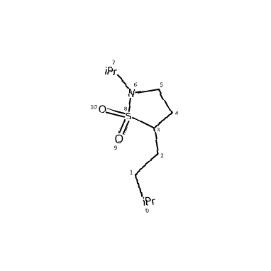 CC(C)CCC1CCN(C(C)C)S1(=O)=O